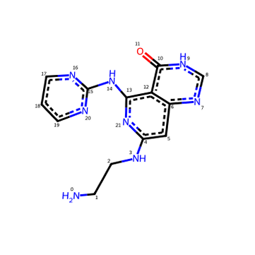 NCCNc1cc2nc[nH]c(=O)c2c(Nc2ncccn2)n1